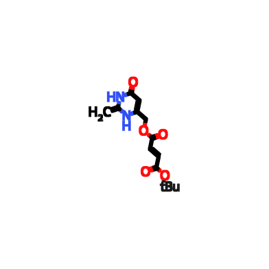 C=C1NC(=O)C=C(COC(=O)/C=C/C(=O)OC(C)(C)C)N1